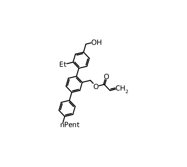 C=CC(=O)OCc1cc(-c2ccc(CCCCC)cc2)ccc1-c1ccc(CO)cc1CC